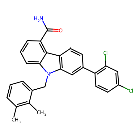 Cc1cccc(Cn2c3cc(-c4ccc(Cl)cc4Cl)c[c]c3c3c(C(N)=O)cccc32)c1C